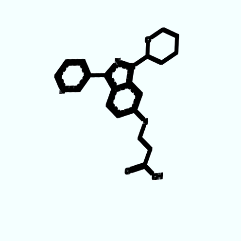 O=C(O)CCSc1ccc2c(-c3cccnc3)nn(C3CCCCO3)c2c1